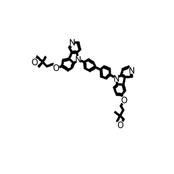 CC1(CCOc2ccc3c(c2)c2cnccc2n3-c2ccc(-c3ccc(-n4c5ccncc5c5cc(OCCC6(C)COC6)ccc54)cc3)cc2)COC1